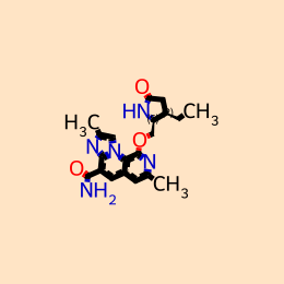 CC[C@@H]1CC(=O)N[C@@H]1COc1nc(C)cc2cc(C(N)=O)c3nc(C)cn3c12